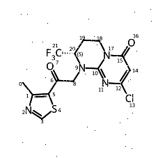 Cc1ncsc1C(=O)CN1c2nc(Cl)cc(=O)n2CC[C@H]1C(F)(F)F